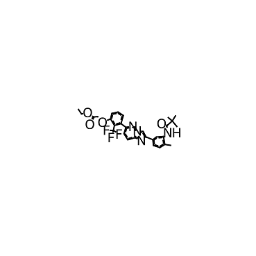 CCOC(=O)COc1cccc(-c2ccc3nc(-c4ccc(C)c(NC(=O)C(C)(C)C)c4)cn3n2)c1C(F)(F)F